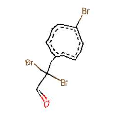 O=CC(Br)(Br)c1ccc(Br)cc1